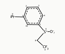 CC(C)c1cccc([S+]([O-])CC(F)(F)F)c1